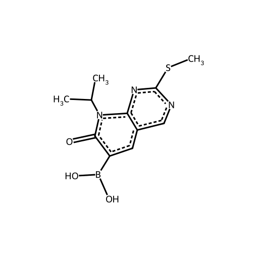 CSc1ncc2cc(B(O)O)c(=O)n(C(C)C)c2n1